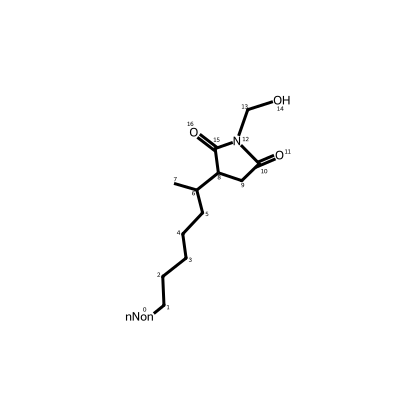 CCCCCCCCCCCCCCC(C)C1CC(=O)N(CO)C1=O